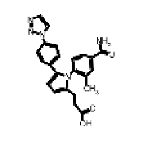 Cc1cc(C(N)=O)ccc1-n1c(CCC(=O)O)ccc1-c1ccc(-n2ccnn2)cc1